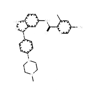 Cc1cc(C#N)cnc1C(=O)Nc1ccc2[nH]nc(-c3ccc(N4CCN(C)CC4)cc3)c2c1